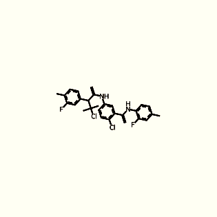 C=C(Nc1ccc(C)cc1F)c1cc(NC(=C)C(c2ccc(C)c(F)c2)C(C)(C)Cl)ccc1Cl